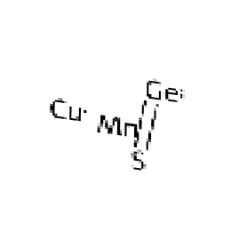 [Cu].[Mn].[S]=[Ge]